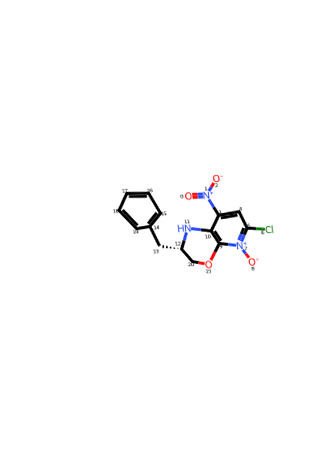 O=[N+]([O-])c1cc(Cl)[n+]([O-])c2c1N[C@@H](Cc1ccccc1)CO2